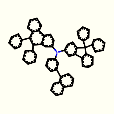 c1ccc(-c2c(-c3ccccc3)c3cc(N(c4cccc(-c5cccc6ccccc56)c4)c4ccc5c(c4)-c4ccccc4C5(c4ccccc4)c4ccccc4)ccc3c3ccccc23)cc1